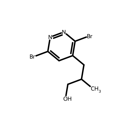 CC(CO)Cc1cc(Br)nnc1Br